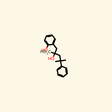 CC(C)(CC(O)(Cc1ccccc1O)C(=O)O)c1ccccc1